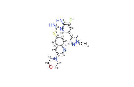 Cn1cc(-c2cc(F)c(=N)n(C(=N)Sc3ccc4ncc(N5CCOCC5)cc4c3)c2)cn1